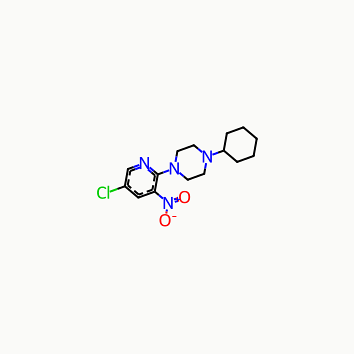 O=[N+]([O-])c1cc(Cl)cnc1N1CCN(C2CCCCC2)CC1